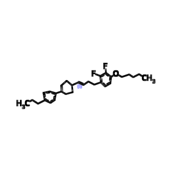 CCCCCOc1ccc(CC/C=C/C2CC=C(c3ccc(CCC)cc3)CC2)c(F)c1F